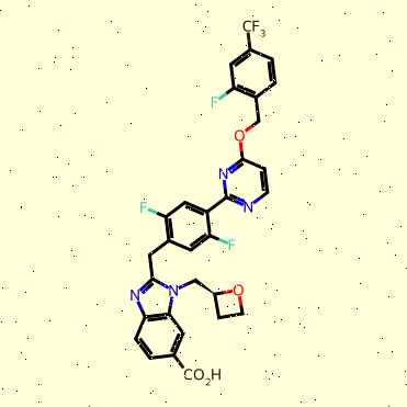 O=C(O)c1ccc2nc(Cc3cc(F)c(-c4nccc(OCc5ccc(C(F)(F)F)cc5F)n4)cc3F)n(C[C@@H]3CCO3)c2c1